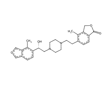 Cc1c(CCN2CCN(C[C@@H](O)c3ccc4cocc4c3C)CC2)ccc2c1COC2=O